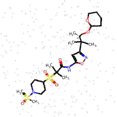 C=S(C)(=O)N1CCC(S(=O)(=O)C(C)(C)C(=O)Nc2cc(C(C)(C)[C@H](C)OC3CCCCO3)no2)CC1